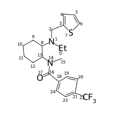 CCN(Cc1cccs1)C1CCCCC1N(C)C(=O)c1ccc(C(F)(F)F)cc1